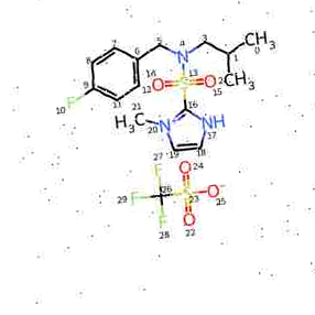 CC(C)CN(Cc1ccc(F)cc1)S(=O)(=O)c1[nH]cc[n+]1C.O=S(=O)([O-])C(F)(F)F